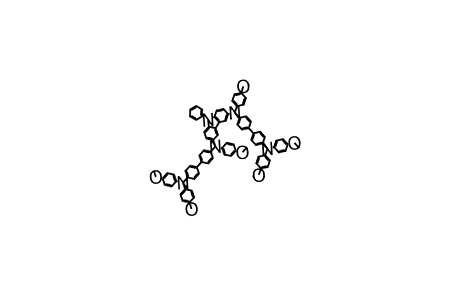 COc1ccc(N(c2ccc(OC)cc2)c2ccc(-c3ccc(N(c4ccc(OC)cc4)c4ccc5c(c4)c4cc(N(c6ccc(OC)cc6)c6ccc(-c7ccc(N(c8ccc(OC)cc8)c8ccc(OC)cc8)cc7)cc6)ccc4n5-c4ccccc4)cc3)cc2)cc1